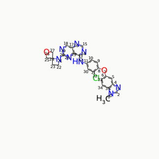 Cn1cnc2cc(Oc3ccc(Nc4ncnc5cnc(N6CCC67COC7)nc45)cc3Cl)ccc21